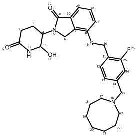 O=C1CCC(N2Cc3c(SCc4ccc(CN5CCCCCCC5)cc4F)cccc3C2=O)C(O)N1